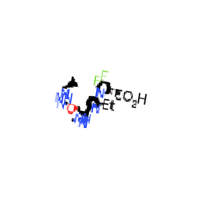 CCc1nc(-c2nnn(C)c2COc2nnn(CC3CC3)n2)ccc1N1C[C@@H](CC(=O)O)CC(F)(F)C1